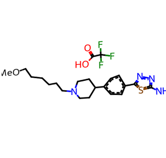 COCCCCCCN1CCC(c2ccc(-c3nnc(N)s3)cc2)CC1.O=C(O)C(F)(F)F